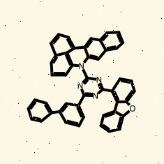 c1ccc(-c2cccc(-c3nc(-c4cccc5oc6ccccc6c45)nc(N4c5cc6ccccc6cc5-c5cccc6cccc4c56)n3)c2)cc1